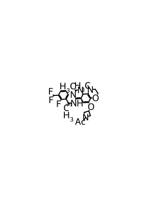 CC(=O)N1CC(Oc2cc3c(N[C@H](C)c4cccc(C(F)F)c4F)nc(C)nc3c3c2OCCN3C)C1